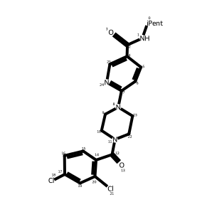 CCCC(C)NC(=O)c1ccc(N2CCN(C(=O)c3ccc(Cl)cc3Cl)CC2)nc1